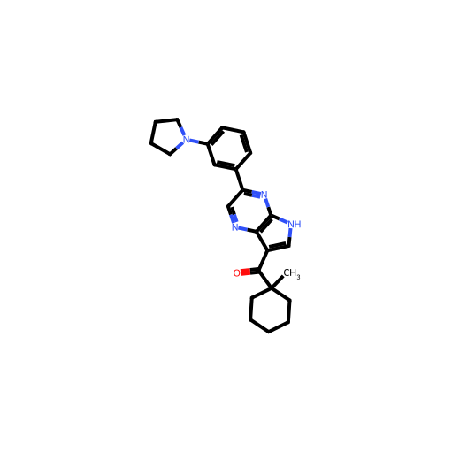 CC1(C(=O)c2c[nH]c3nc(-c4cccc(N5CCCC5)c4)cnc23)CCCCC1